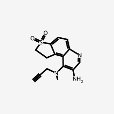 C#CCN(C)c1c(N)cnc2ccc3c(c12)CCS3(=O)=O